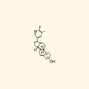 Cc1cc(C2=CC[C@H]3[C@@H]4CC=C5C[C@@H](O)CC[C@]5(C)[C@H]4CC[C@]23C)cnc1F